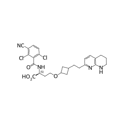 N#Cc1ccc(Cl)c(C(=O)N[C@@H](CCOC2CC(CCc3ccc4c(n3)NCCC4)C2)C(=O)O)c1Cl